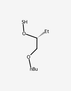 CCCCOC[C@@H](CC)OS